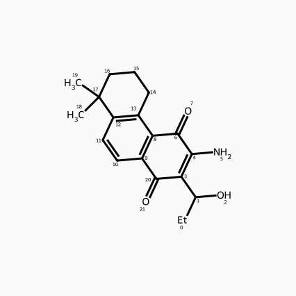 CCC(O)C1=C(N)C(=O)c2c(ccc3c2CCCC3(C)C)C1=O